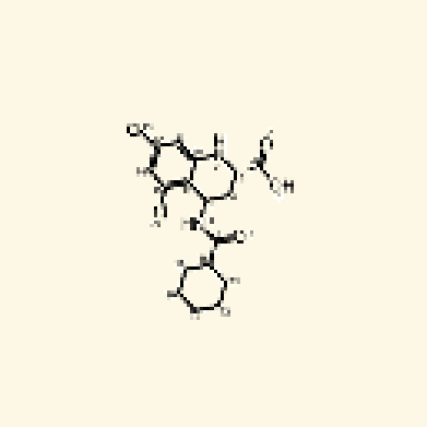 O=C(N[C@@H]1C[C@@H](C(=O)O)Nc2cc(Cl)cc(Cl)c21)C1CCCCC1